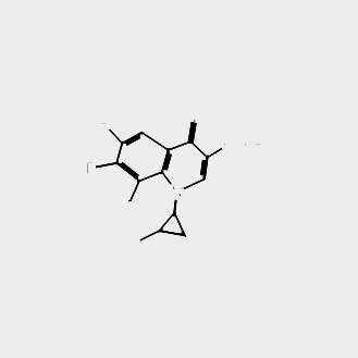 CCOC(=O)c1cn(C2CC2F)c2c(Cl)c(F)c(F)cc2c1=O